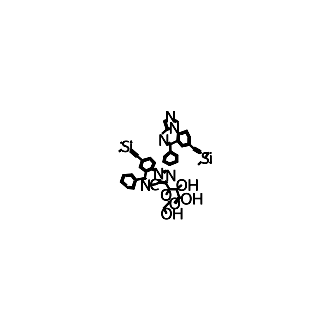 C[Si](C)(C)C#Cc1ccc2c(c1)C(c1ccccc1)=NCc1c(C(OCCO)C(O)C(=O)O)ncn1-2.C[Si](C)(C)C#Cc1ccc2c(c1)C(c1ccccc1)=NCc1cncn1-2